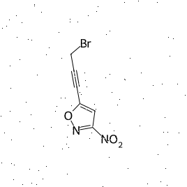 O=[N+]([O-])c1cc(C#CCBr)on1